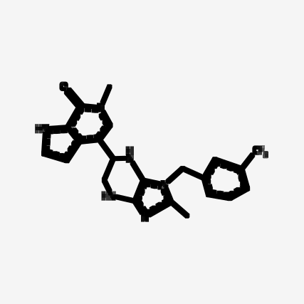 Cc1nc2c(n1Cc1cccc(C(F)(F)F)c1)NC(c1cn(C)c(=O)c3[nH]ccc13)CN2